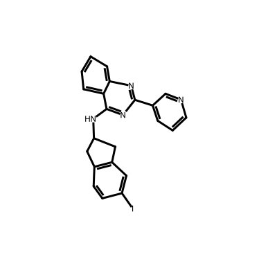 Ic1ccc2c(c1)CC(Nc1nc(-c3cccnc3)nc3ccccc13)C2